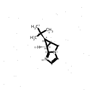 CC(C)(C)[C@H]1C2Cn3ccnc3[C@H]21